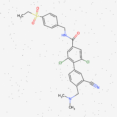 CCS(=O)(=O)c1ccc(CNC(=O)c2cc(Cl)c(-c3ccc(CN(C)C)c(C#N)c3)c(Cl)c2)cc1